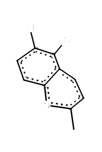 CC(=O)c1c(Cl)ccc2nc(C)ccc12